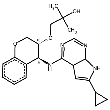 CC(C)(O)CO[C@H]1COc2ccccc2[C@@H]1NC1=NC=NC2NC(C3CC3)=CC12